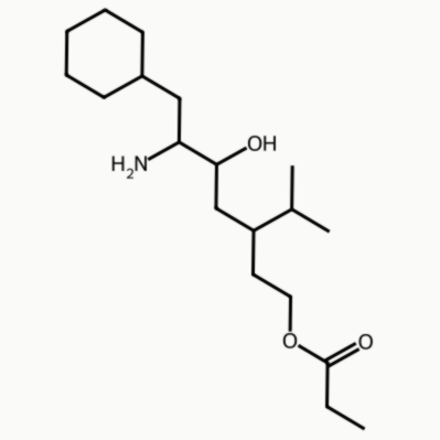 CCC(=O)OCCC(CC(O)C(N)CC1CCCCC1)C(C)C